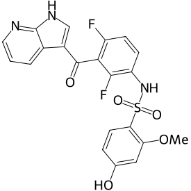 COc1cc(O)ccc1S(=O)(=O)Nc1ccc(F)c(C(=O)c2c[nH]c3ncccc23)c1F